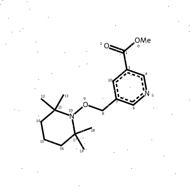 COC(=O)c1cncc(CON2C(C)(C)CCCC2(C)C)c1